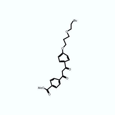 CCC(C)CCOCCCOc1ccc(C(=O)CC(=O)c2ccc(C(=O)OC)cc2)cc1